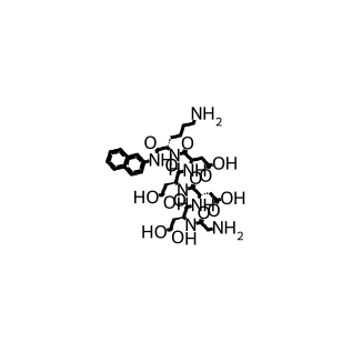 NCCCC[C@H](NC(=O)C(CC(=O)O)NC(=O)[C@H](CC(=O)O)NC(=O)[C@H](CC(=O)O)NC(=O)[C@H](CC(=O)O)NC(=O)CN)C(=O)Nc1ccc2ccccc2c1